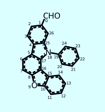 O=Cc1ccc2c3ccc4oc5ccccc5c4c3n(-c3ccccc3)c2c1